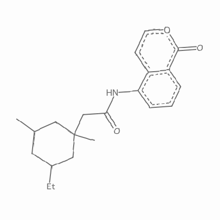 CCC1CC(C)CC(C)(CC(=O)Nc2cccc3c(=O)occc23)C1